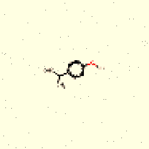 CCCCOc1ccc(C(C)[C]=O)cc1